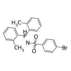 Cc1ccccc1[PH](=NS(=O)(=O)c1ccc(Br)cc1)c1ccccc1C